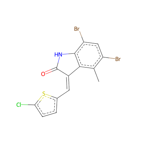 Cc1c(Br)cc(Br)c2c1C(=Cc1ccc(Cl)s1)C(=O)N2